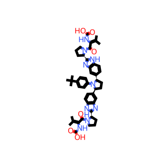 CC(C)=C(NC(=O)O)C(=O)N1CCC[C@H]1c1nc2cc([C@@H]3CC[C@@H](c4ccc5[nH]c([C@@H]6CCCN6C(=O)C(NC(=O)O)=C(C)C)nc5c4)N3c3ccc(C(C)(C)C)cc3)ccc2[nH]1